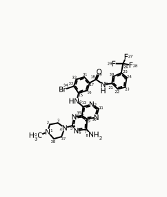 CN1CCN(c2nc(N)c3ncnc(Nc4cc(C(=O)Nc5cccc(C(F)(F)F)c5)ccc4Br)c3n2)CC1